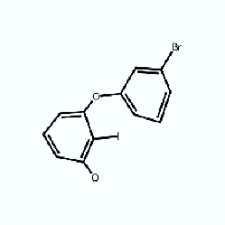 [O]c1cccc(Oc2cccc(Br)c2)c1I